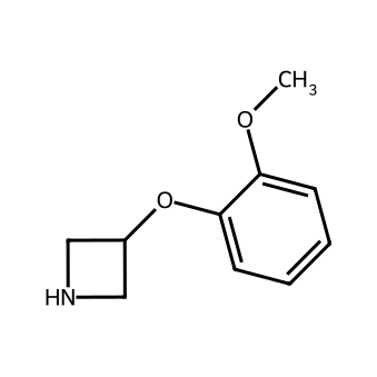 COc1ccccc1OC1CNC1